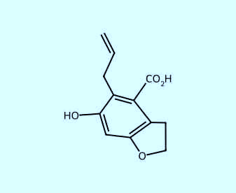 C=CCc1c(O)cc2c(c1C(=O)O)CCO2